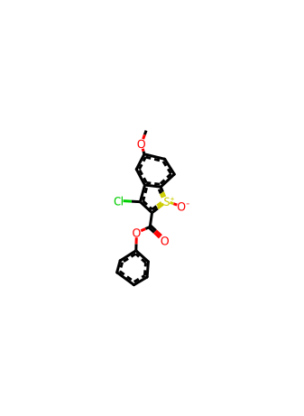 COc1ccc2c(c1)c(Cl)c(C(=O)Oc1ccccc1)[s+]2[O-]